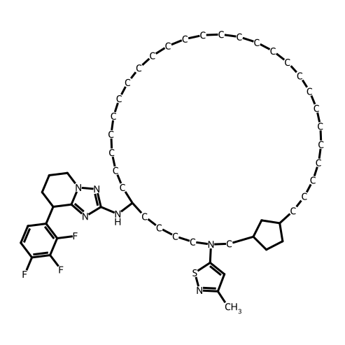 Cc1cc(N2CCCCC(Nc3nc4n(n3)CCCC4c3ccc(F)c(F)c3F)CCCCCCCCCCCCCCCCCCCCCCCCCCC3CCC(C3)C2)sn1